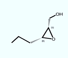 CCC[C@H]1O[C@H]1CO